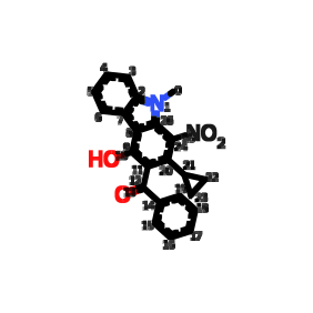 Cn1c2ccccc2c2c(O)c(C(=O)c3ccccc3)c(C3CC3)c([N+](=O)[O-])c21